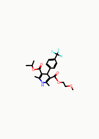 COCCOC(=O)C1=C(C)NC(C)=C(C(=O)OC(C)C)C1c1ccc(C(F)(F)F)cc1